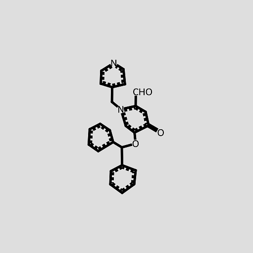 O=Cc1cc(=O)c(OC(c2ccccc2)c2ccccc2)cn1Cc1ccncc1